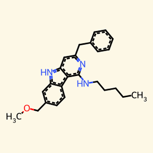 CCCCCNc1nc(Cc2ccccc2)cc2[nH]c3cc(COC)ccc3c12